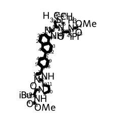 CC[C@H](C)[C@H](NC(=O)OC)C(=O)N1CCC[C@H]1c1ncc(-c2ccc(-c3ccc4c(ccc5nc([C@@H]6C[Si](C)(C)CN6C(=O)[C@@H](NC(=O)OC)C(C)C)[nH]c54)c3)cc2)[nH]1